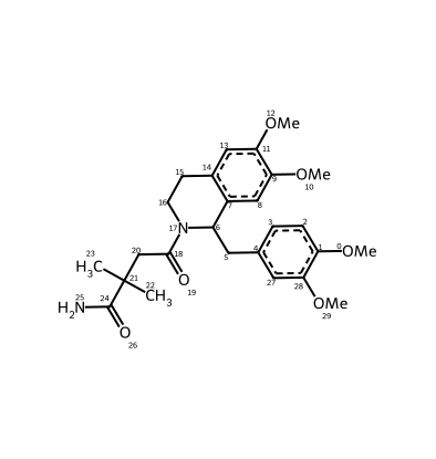 COc1ccc(CC2c3cc(OC)c(OC)cc3CCN2C(=O)CC(C)(C)C(N)=O)cc1OC